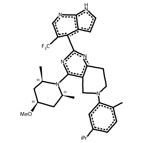 CO[C@H]1C[C@@H](C)N(c2nc(-c3c(C(F)(F)F)cnc4[nH]ccc34)nc3c2CN(c2cc(C(C)C)ccc2C)CC3)[C@@H](C)C1